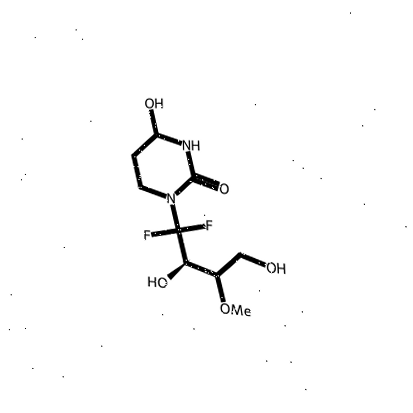 COC(CO)[C@@H](O)C(F)(F)N1CCC(O)NC1=O